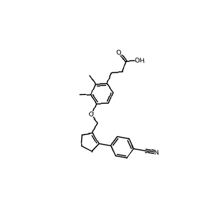 Cc1c(CCC(=O)O)ccc(OCC2=C(c3ccc(C#N)cc3)CCC2)c1C